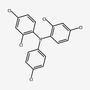 Clc1ccc(N(c2ccc(Cl)cc2Cl)c2ccc(Cl)cc2Cl)cc1